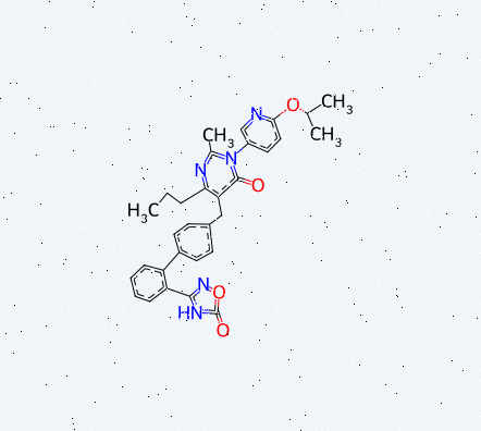 CCCc1nc(C)n(-c2ccc(OC(C)C)nc2)c(=O)c1Cc1ccc(-c2ccccc2-c2noc(=O)[nH]2)cc1